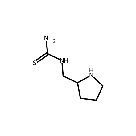 NC(=S)NCC1CCCN1